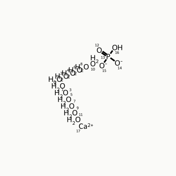 O.O.O.O.O.O.O.O.O.O.O.O.O=P([O-])([O-])O.[Ca+2]